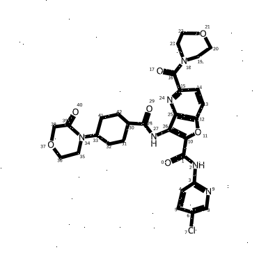 O=C(Nc1ccc(Cl)cn1)c1oc2ccc(C(=O)N3CCOCC3)nc2c1NC(=O)C1CCC(N2CCOCC2=O)CC1